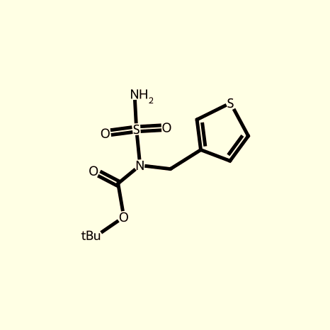 CC(C)(C)OC(=O)N(Cc1ccsc1)S(N)(=O)=O